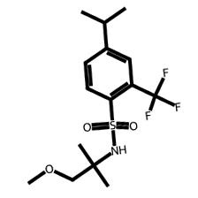 COCC(C)(C)NS(=O)(=O)c1ccc(C(C)C)cc1C(F)(F)F